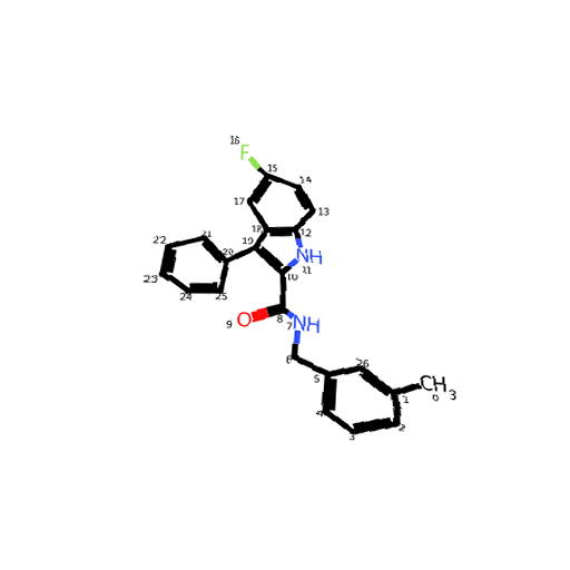 Cc1cccc(CNC(=O)c2[nH]c3ccc(F)cc3c2-c2ccccc2)c1